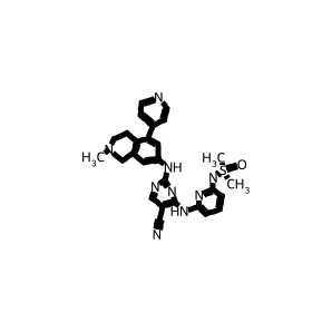 CN1CCc2c(cc(Nc3ncc(C#N)c(Nc4cccc(N=S(C)(C)=O)n4)n3)cc2-c2ccncc2)C1